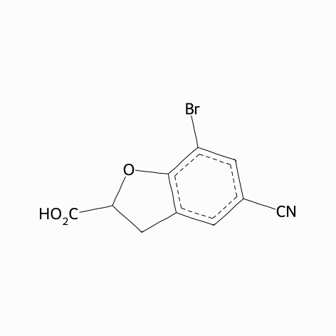 N#Cc1cc(Br)c2c(c1)CC(C(=O)O)O2